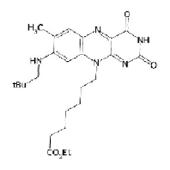 CCOC(=O)CCCCCCn1c2nc(=O)[nH]c(=O)c-2nc2cc(C)c(NCC(C)(C)C)cc21